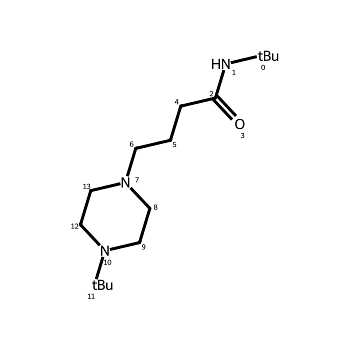 CC(C)(C)NC(=O)CCCN1CCN(C(C)(C)C)CC1